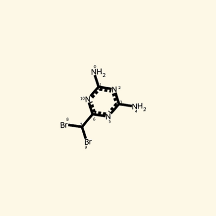 Nc1nc(N)nc(C(Br)Br)n1